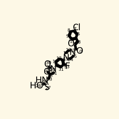 O=C(c1cc2cc(Cl)ccc2o1)N1CCN(c2ccc(N3CC(CNC(O)=S)OC3=O)cc2F)CC1